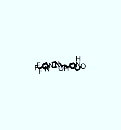 O=C1CCc2cc(/C=C/[C@@H](O)CN3CCN(c4ccc(C(F)(F)F)cn4)CC3)ccc2N1